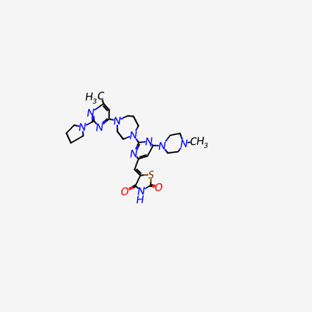 Cc1cc(N2CCCN(c3nc(/C=C4\SC(=O)NC4=O)cc(N4CCN(C)CC4)n3)CC2)nc(N2CCCC2)n1